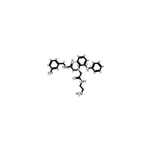 NCCNC(=O)CN(CC(=O)NCc1cccc(Cl)c1)c1ccccc1Oc1ccccc1